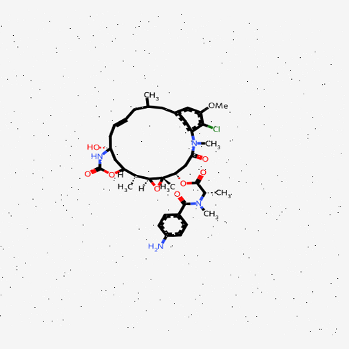 COc1cc2cc(c1Cl)N(C)C(=O)C[C@H](OC(=O)[C@H](C)N(C)C(=O)c1ccc(N)cc1)[C@]1(C)O[C@H]1[C@H](C)[C@@H]1C[C@](O)(C/C=C/CC(C)C2)NC(=O)O1